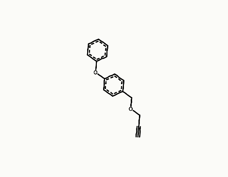 C#CCOCc1ccc(Oc2ccccc2)cc1